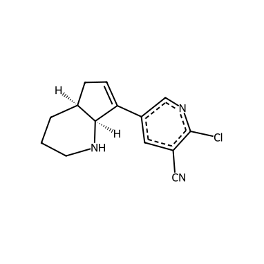 N#Cc1cc(C2=CC[C@@H]3CCCN[C@H]23)cnc1Cl